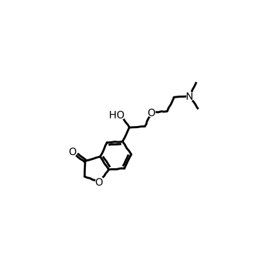 CN(C)CCOCC(O)c1ccc2c(c1)C(=O)CO2